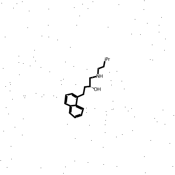 CC(C)CCNC[C@H](O)CCc1cccc2ccccc12